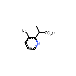 CC(C(=O)O)c1ncccc1C#N